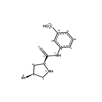 CC(C)[C@@H]1CN[C@H](C(=O)Nc2cccc(C(=O)O)c2)C1